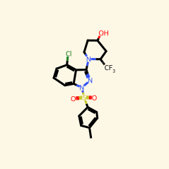 Cc1ccc(S(=O)(=O)n2nc(N3CCC(O)CC3C(F)(F)F)c3c(Cl)cccc32)cc1